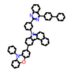 c1ccc(-c2ccc(-c3nc(-c4cccc(-n5c6ccc(-c7ccc8c(c7)N(c7ccccc7)c7ccccc7O8)cc6c6c7ccccc7ccc65)c4)nc4ccccc34)cc2)cc1